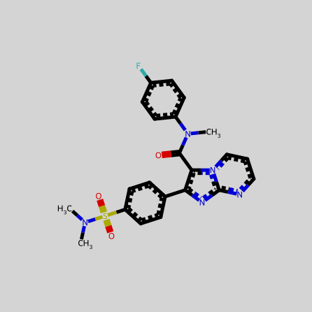 CN(C(=O)c1c(-c2ccc(S(=O)(=O)N(C)C)cc2)nc2ncccn12)c1ccc(F)cc1